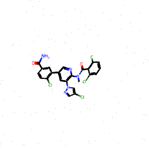 CN(C(=O)c1c(F)cccc1Cl)c1ncc(-c2cc(C(N)=O)ccc2Cl)cc1-n1cc(Cl)cn1